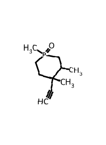 C#CC1(C)CCP(C)(=O)CC1C